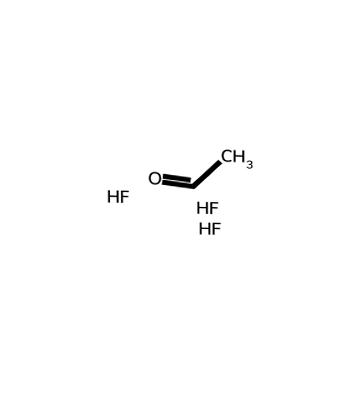 CC=O.F.F.F